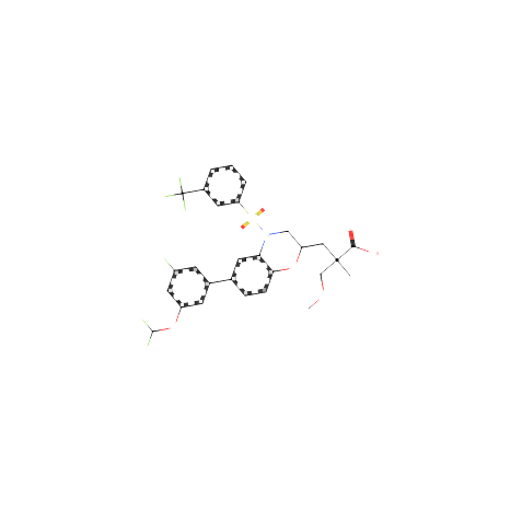 COCC(C)(CC1CN(S(=O)(=O)c2cccc(C(F)(F)F)c2)c2cc(-c3cc(F)cc(OC(F)F)c3)ccc2O1)C(=O)O